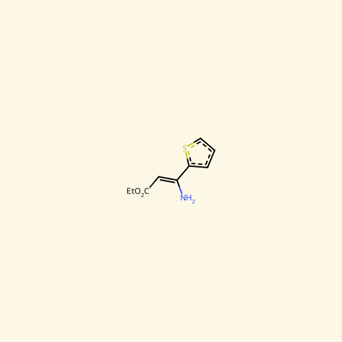 CCOC(=O)/C=C(\N)c1cccs1